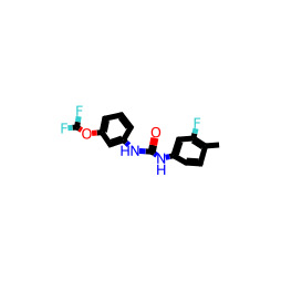 Cc1ccc(NC(=O)Nc2cccc(OC(F)F)c2)cc1F